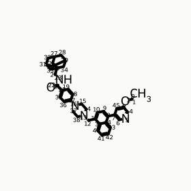 CCOc1cncc(-c2ccc(CN3CCN(c4ccc(C(=O)NCC56CC7CC(CC(C7)C5)C6)cc4)CC3)c3ccccc23)c1